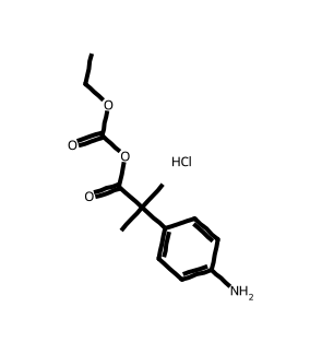 CCOC(=O)OC(=O)C(C)(C)c1ccc(N)cc1.Cl